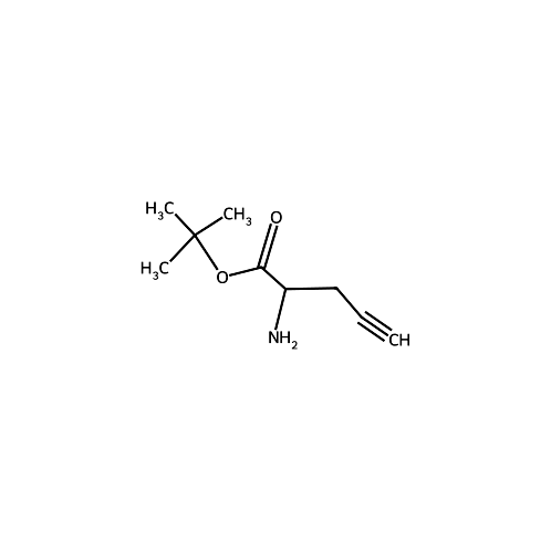 C#CCC(N)C(=O)OC(C)(C)C